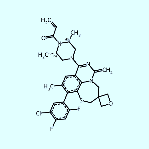 C=CC(=O)N1[C@H](C)CN(C2=NC(=C)N3CC4(COC4)CSc4c(-c5cc(Cl)c(F)cc5F)c(C)cc2c43)C[C@@H]1C